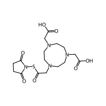 O=C(O)CN1CCN(CC(=O)O)CCN(CC(=O)SN2C(=O)CCC2=O)CC1